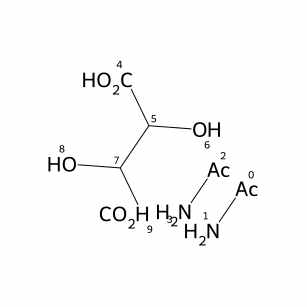 CC(N)=O.CC(N)=O.O=C(O)C(O)C(O)C(=O)O